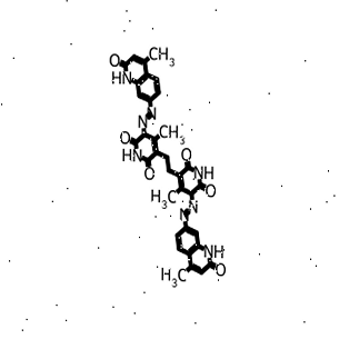 CC1=C(CCC2=C(C)C(N=Nc3ccc4c(C)cc(=O)[nH]c4c3)C(=O)NC2=O)C(=O)NC(=O)C1N=Nc1ccc2c(C)cc(=O)[nH]c2c1